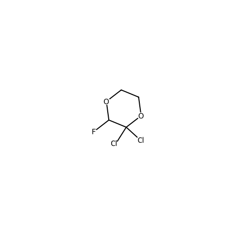 FC1OCCOC1(Cl)Cl